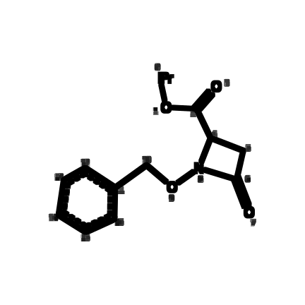 CC(C)OC(=O)C1CC(=O)N1OCc1ccccc1